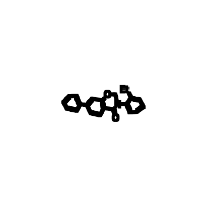 CCc1ccccc1N1COc2cc(-c3ccccc3)ccc2C1=O